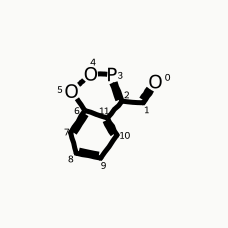 O=CC1=POOc2ccccc21